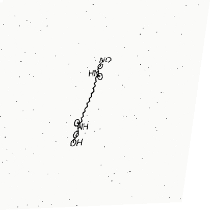 O=NCCOCCNC(=O)CCCCCCCCCCCCCCCCCCC(=O)NCCOCCO